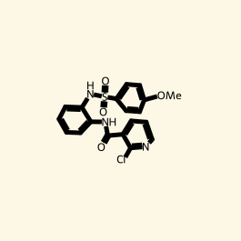 COc1ccc(S(=O)(=O)Nc2ccccc2NC(=O)c2cccnc2Cl)cc1